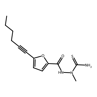 CCCCC#Cc1ccc(C(=O)NN(C)C(N)=S)o1